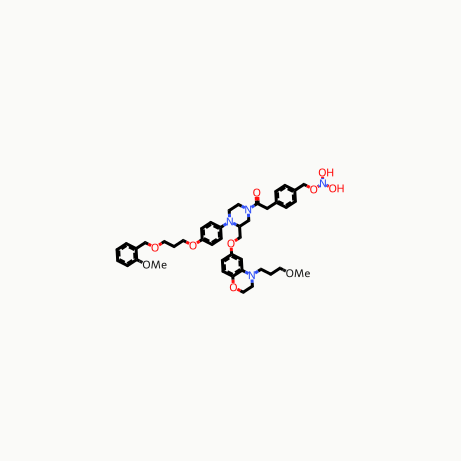 COCCCN1CCOc2ccc(OCC3CN(C(=O)Cc4ccc(CON(O)O)cc4)CCN3c3ccc(OCCCOCc4ccccc4OC)cc3)cc21